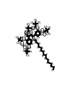 CCCCCCCCCCCCCCCCn1c(-c2ccc(OC(=O)C(C)(C)C)c(OC(=O)C(C)(C)C)c2)c(OC(=O)C(C)(C)C)c(=O)c2c(OC(=O)C(C)(C)C)cc(OC(=O)C(C)(C)C)cc21